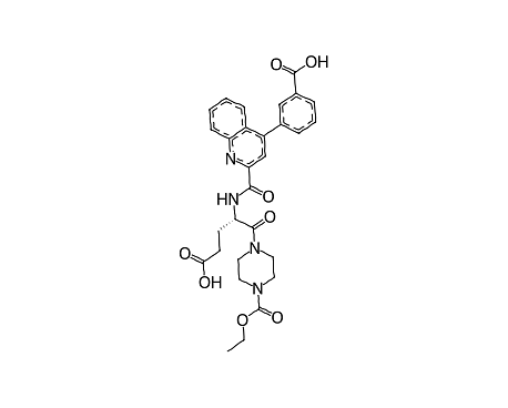 CCOC(=O)N1CCN(C(=O)[C@H](CCC(=O)O)NC(=O)c2cc(-c3cccc(C(=O)O)c3)c3ccccc3n2)CC1